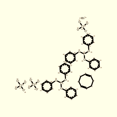 C1=C\CC/C=C\CC/1.[O-][Cl+3]([O-])([O-])[O-].[O-][Cl+3]([O-])([O-])[O-].[O-][Cl+3]([O-])([O-])[O-].[Rh+3].c1ccc(OP(Oc2ccccc2)Oc2ccccc2)cc1.c1ccc(OP(Oc2ccccc2)Oc2ccccc2)cc1